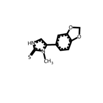 Cn1c(-c2ccc3c(c2)OCO3)c[nH]c1=S